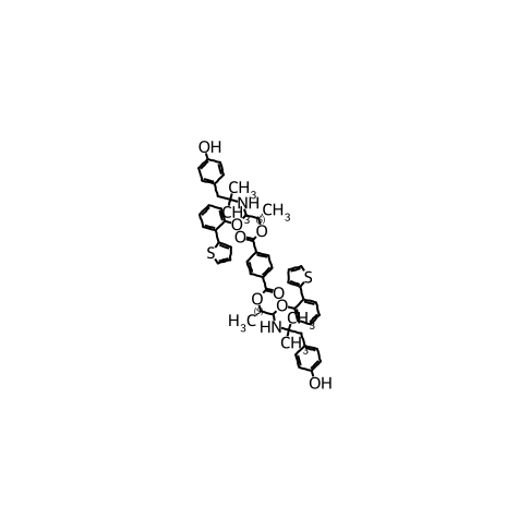 C[C@H](OC(=O)c1ccc(C(=O)O[C@@H](C)C(NC(C)(C)Cc2ccc(O)cc2)Oc2ccccc2-c2cccs2)cc1)C(NC(C)(C)Cc1ccc(O)cc1)Oc1ccccc1-c1cccs1